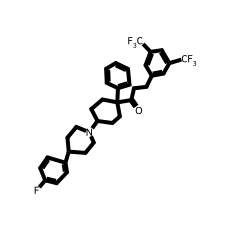 O=C(CCc1cc(C(F)(F)F)cc(C(F)(F)F)c1)C1(c2ccccc2)CCC(N2CCC(c3ccc(F)cc3)CC2)CC1